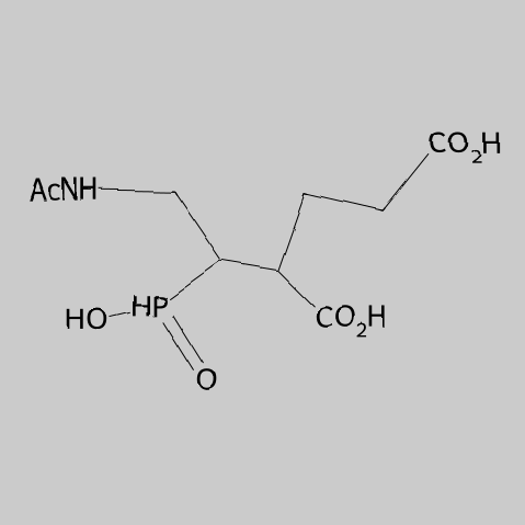 CC(=O)NCC(C(CCC(=O)O)C(=O)O)[PH](=O)O